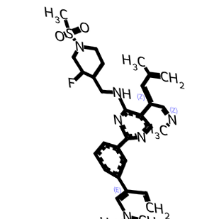 C=C/C(=C\N(C)C)c1cccc(-c2ncc(C(/C=N\C)=C/C(=C)C)c(NCC3CCN(S(C)(=O)=O)CC3F)n2)c1